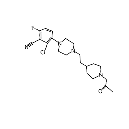 CC(=O)CN1CCC(CCN2CCN(c3ccc(F)c(C#N)c3Cl)CC2)CC1